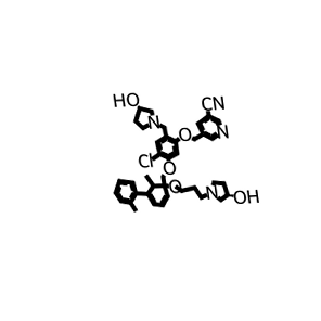 Cc1ccccc1C1=CC=CC(COc2cc(OCc3cncc(C#N)c3)c(CN3CC[C@@H](O)C3)cc2Cl)(OCCCN2CC[C@@H](O)C2)C1C